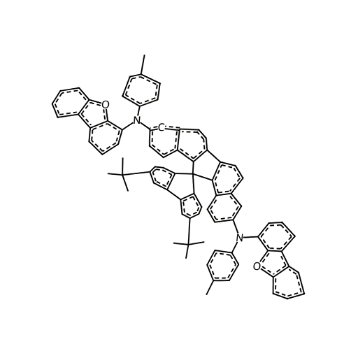 Cc1ccc(N(c2ccc3c4c(ccc3c2)-c2ccc3cc(N(c5ccc(C)cc5)c5cccc6c5oc5ccccc56)ccc3c2C42c3ccc(C(C)(C)C)cc3-c3cc(C(C)(C)C)ccc32)c2cccc3c2oc2ccccc23)cc1